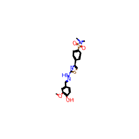 COc1cc(/C=N/Nc2nc(-c3ccc(S(=O)(=O)N(C)C)cc3)cs2)ccc1O